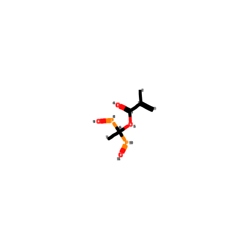 C=C(C)C(=O)OC(C)(P=O)P=O